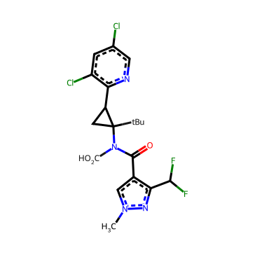 Cn1cc(C(=O)N(C(=O)O)C2(C(C)(C)C)CC2c2ncc(Cl)cc2Cl)c(C(F)F)n1